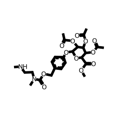 CNCCN(C)C(=O)OCc1ccc(OC2OC(C(=O)OC)C(OC(C)=O)C(OC(C)=O)C2OC(C)=O)cc1